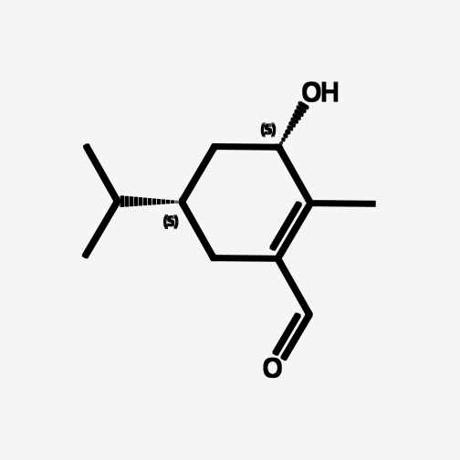 CC1=C(C=O)C[C@H](C(C)C)C[C@@H]1O